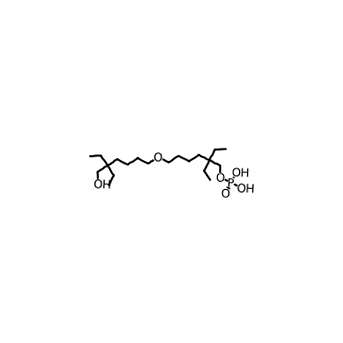 CCC(CC)(CO)CCCCOCCCCC(CC)(CC)COP(=O)(O)O